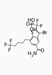 NC(=O)c1cc(CCCCC(F)(F)F)c2sc(C(F)(F)P(=O)(O)O)c(Br)c2c1